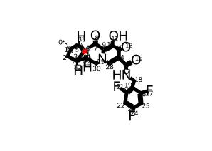 C[C@H]1C[C@@H]2C[C@H]1N1C(=O)c3c(O)c(=O)c(C(=O)NCc4c(F)cc(F)cc4F)cn3C[C@H]21